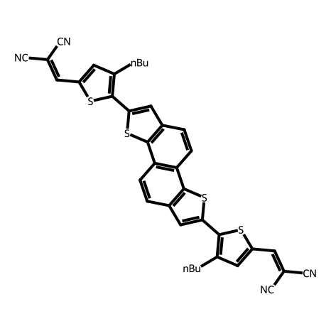 CCCCc1cc(C=C(C#N)C#N)sc1-c1cc2ccc3c(ccc4cc(-c5sc(C=C(C#N)C#N)cc5CCCC)sc43)c2s1